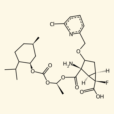 CC(C)C1CC[C@@H](C)C[C@H]1OC(=O)O[C@H](C)OC(=O)[C@]1(N)C(OCc2cccc(Cl)n2)C[C@@H]2[C@H]1[C@@]2(F)C(=O)O